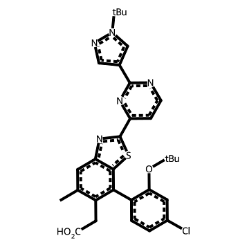 Cc1cc2nc(-c3ccnc(-c4cnn(C(C)(C)C)c4)n3)sc2c(-c2ccc(Cl)cc2OC(C)(C)C)c1CC(=O)O